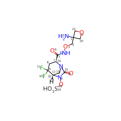 NC1(CONC(=O)[C@@H]2CC(F)(F)[C@@H]3CN2C(=O)N3OS(=O)(=O)O)COC1